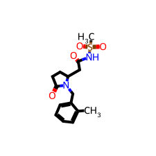 Cc1ccccc1CN1C(=O)CCC1CC(=O)NS(C)(=O)=O